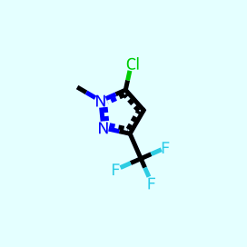 Cn1nc(C(F)(F)F)cc1Cl